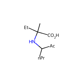 CCCC(NC(C)(CC)C(=O)O)C(C)=O